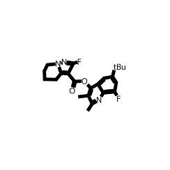 Cc1nc2c(F)cc(C(C)(C)C)cc2c(OC(=O)c2c(F)nn3c2CCCC3)c1C